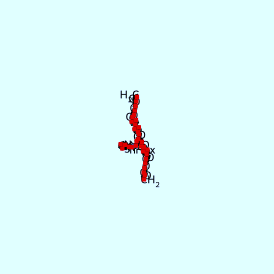 C=CC(=O)OCCOCCOC(=O)C1CCC(C(=O)Oc2ccc(OC(=O)C3CCC(C4CCC(C(=O)OCCOCCOC(=O)C=C)CC4)CC3)cc2/C=N/N(CCCCCC)c2nc3ccccc3s2)CC1